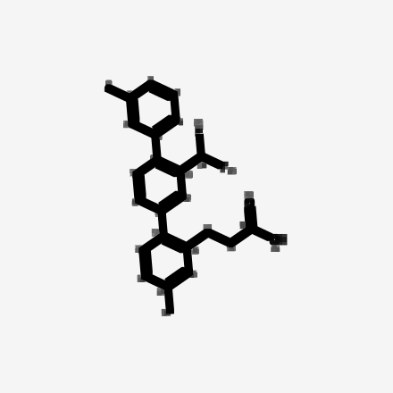 Cc1cccc(-c2ccc(-c3ccc(C)cc3CCC(=O)O)cc2C(F)F)c1